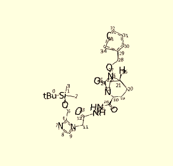 CC(C)(C)[Si](C)(C)OCc1nccn1CC(=O)NNC(=O)[C@@H]1CC[C@@H]2CN1C(=O)N2OCc1ccccc1